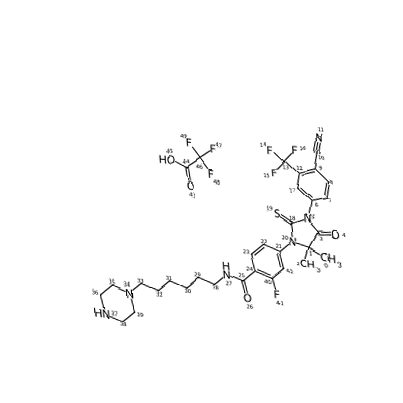 CC1(C)C(=O)N(c2ccc(C#N)c(C(F)(F)F)c2)C(=S)N1c1ccc(C(=O)NCCCCCCN2CCNCC2)c(F)c1.O=C(O)C(F)(F)F